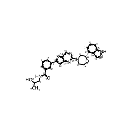 CC(O)CNC(=O)c1cccc(-c2cc3nc(N4CCO[C@@H](c5cccc6[nH]ncc56)C4)ncc3s2)c1